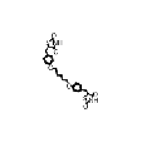 O=C1NC(=O)C(Cc2ccc(OCCCCCOc3ccc(CC4SC(=O)NC4=O)cc3)cc2)S1